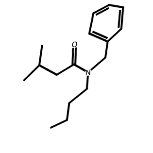 CCCCN(Cc1ccccc1)C(=O)CC(C)C